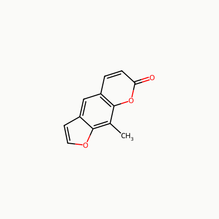 Cc1c2occc2cc2ccc(=O)oc12